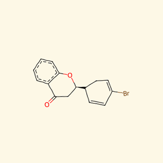 O=C1C[C@H](C2C=CC(Br)=CC2)Oc2ccccc21